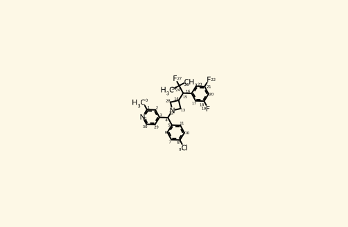 Cc1cc(C(c2ccc(Cl)cc2)N2CC(C(c3cc(F)cc(F)c3)C(C)(C)F)C2)ccn1